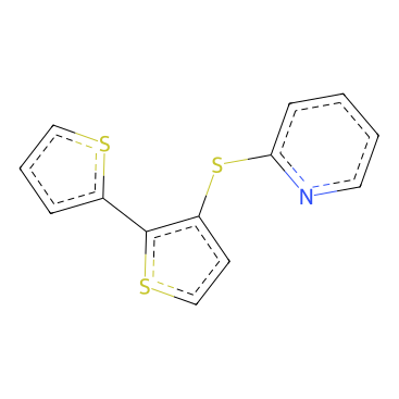 c1ccc(Sc2ccsc2-c2cccs2)nc1